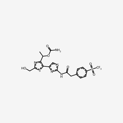 CC(OC(N)=O)c1nc(CO)sc1-c1csc(NC(=O)Cc2ccc(S(=O)(=O)C(F)(F)F)cc2)n1